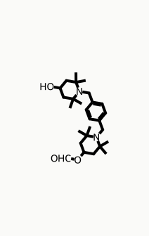 CC1(C)CC(O)CC(C)(C)N1Cc1ccc(CN2C(C)(C)CC(OC=O)CC2(C)C)cc1